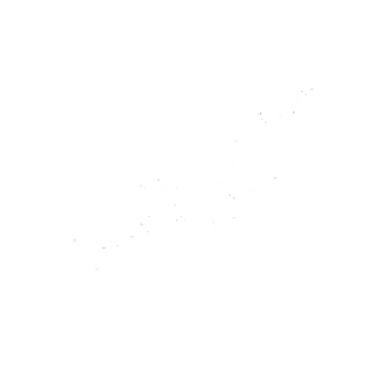 Cc1c(CN2CCC(Nc3ccnc4c3NC(CC(F)(F)F)O4)CC2)ccc2[nH]c(C#N)cc12